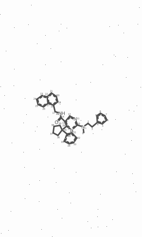 CN(CCc1ccccc1)c1ncc(C(=O)NCc2cccc3ccccc23)c(C2(c3ccccc3)CCCC2)n1